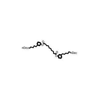 CCCCCCCCCCCCCCCc1cccc(OC(=O)CCCCCCCCC(=O)Oc2cccc(CCCCCCCCCCCCCCC)c2)c1